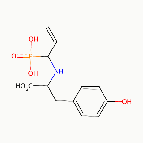 C=CC(NC(Cc1ccc(O)cc1)C(=O)O)P(=O)(O)O